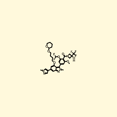 COc1cc(-c2c3c(OCCCCOC4CCCCO4)cc(-c4cnn(C)c4)cc3nn2C)cc(OC(F)F)c1C(=O)N1CC(O)(C(F)(F)F)C1